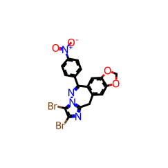 O=[N+]([O-])c1ccc(C2=Nn3c(nc(Br)c3Br)Cc3cc4c(cc32)OCO4)cc1